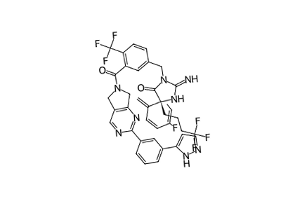 C=C(/C=C\C(F)=C/C)[C@@]1(CCCC(F)(F)F)NC(=N)N(Cc2ccc(C(F)(F)F)c(C(=O)N3Cc4cnc(-c5cccc(-c6ccn[nH]6)c5)nc4C3)c2)C1=O